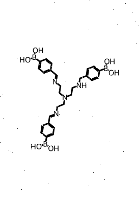 OB(O)c1ccc(/C=N/CCN(CC/N=C/c2ccc(B(O)O)cc2)CCNCc2ccc(B(O)O)cc2)cc1